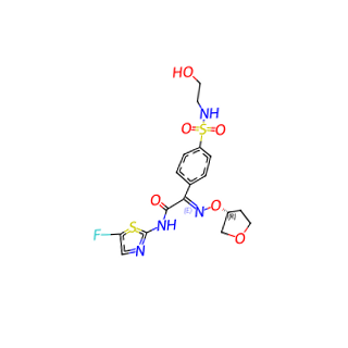 O=C(Nc1ncc(F)s1)/C(=N/O[C@@H]1CCOC1)c1ccc(S(=O)(=O)NCCO)cc1